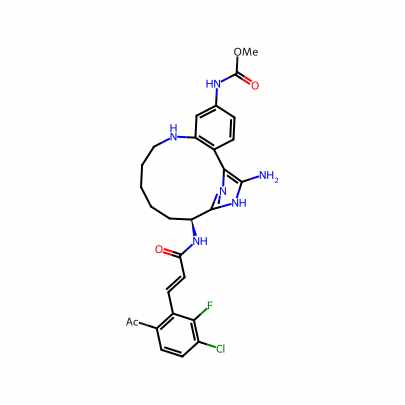 COC(=O)Nc1ccc2c(c1)NCCCCC[C@H](NC(=O)/C=C/c1c(C(C)=O)ccc(Cl)c1F)c1nc-2c(N)[nH]1